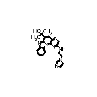 CC(C)(O)c1cc2ncc(NCCn3ccnc3)nc2n2c1nc1ccccc12